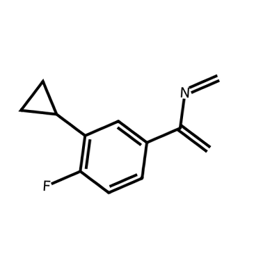 C=NC(=C)c1ccc(F)c(C2CC2)c1